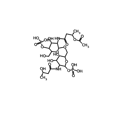 CC(=O)O[C@H](C)CC(=O)NC1C(OCC2OC(OP(=O)(O)O)C(NC(=O)C[C@@H](C)O)C(O)C2O)OC(CO)C(OP(=O)(O)O)C1O